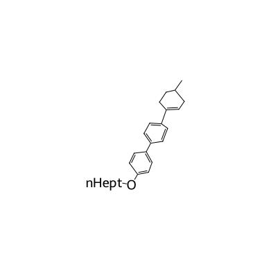 CCCCCCCOc1ccc(-c2ccc(C3=CCC(C)CC3)cc2)cc1